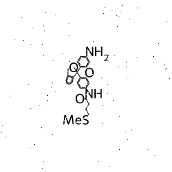 CSCCCC(=O)Nc1ccc2c(c1)Oc1cc(N)ccc1C21OCc2ccccc21